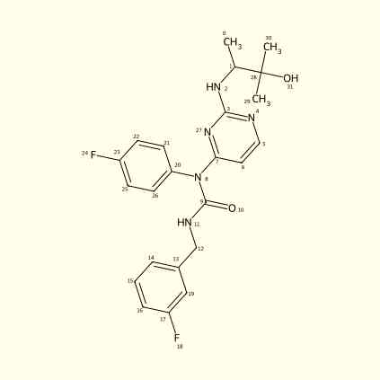 CC(Nc1nccc(N(C(=O)NCc2cccc(F)c2)c2ccc(F)cc2)n1)C(C)(C)O